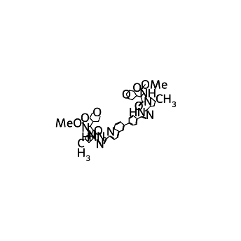 COC(=O)NC(C(=O)N1C[C@@H](C)C[C@H]1c1ncc(-c2ccc(-c3ccc4nc(-c5cnc([C@@H]6C[C@H](C)CN6C(=O)[C@@H](NC(=O)OC)C6CCOCC6)[nH]5)ccc4c3)cc2)[nH]1)C1CCOCC1